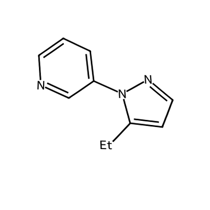 CCc1ccnn1-c1cccnc1